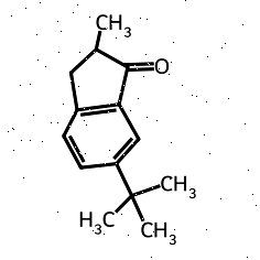 CC1Cc2ccc(C(C)(C)C)cc2C1=O